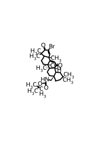 CC1(C)CC[C@]2(CNC(=O)OC(C)(C)C)CC[C@]3(C)[C@H](C(=O)C=C4[C@@]5(C)C=C(Br)C(=O)C(C)(C)C5CC[C@]43C)C2C1